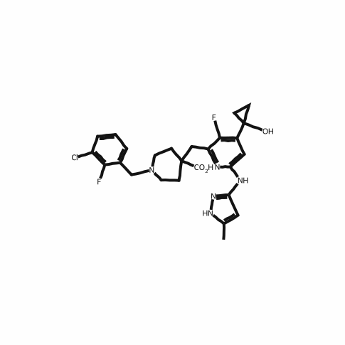 Cc1cc(Nc2cc(C3(O)CC3)c(F)c(CC3(C(=O)O)CCN(Cc4cccc(Cl)c4F)CC3)n2)n[nH]1